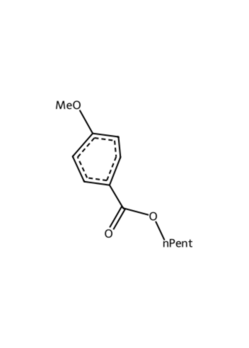 CCCCCOC(=O)c1ccc(OC)cc1